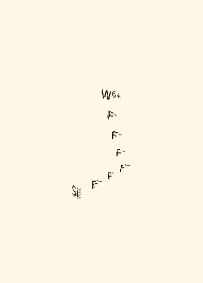 [F-].[F-].[F-].[F-].[F-].[F-].[Si].[W+6]